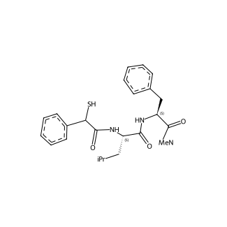 CNC(=O)[C@H](Cc1ccccc1)NC(=O)[C@H](CC(C)C)NC(=O)C(S)c1ccccc1